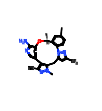 Cc1ccc2c(c1)[C@@H](C)Oc1cc(cnc1N)-c1c(C#N)nn(C)c1Cc1cc(C(F)(F)F)nn1-2